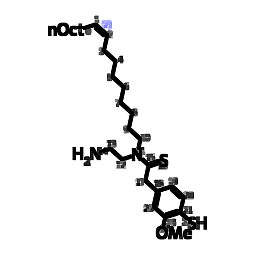 CCCCCCCC/C=C\CCCCCCCCN(CCN)C(=S)Cc1ccc(S)c(OC)c1